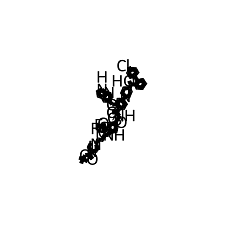 CC(C)(C)OC(=O)N1CCN(CCCNc2ccc(S(=O)(=O)NC(=O)c3ccc(N4CCC(C(O)c5ccccc5-c5ccc(Cl)cc5)CC4)cc3Oc3cnc4[nH]ccc4c3)cc2S(=O)(=O)C(F)(F)F)CC1